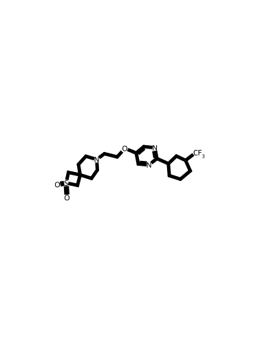 O=S1(=O)CC2(CCN(CCOc3cnc(C4CCCC(C(F)(F)F)C4)nc3)CC2)C1